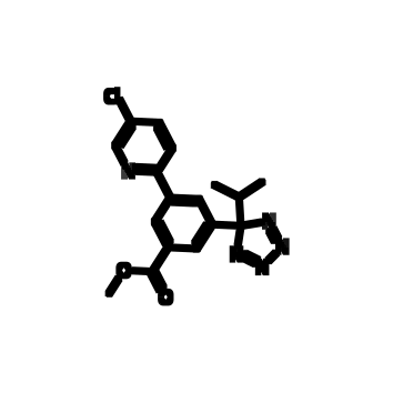 COC(=O)c1cc(-c2ccc(Cl)cn2)cc(C2(C(C)C)N=NN=N2)c1